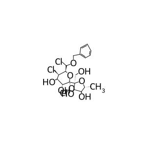 C[C@H]1O[C@](CO)([C@]2(OCl)O[C@H](C(Cl)OCc3ccccc3)[C@H](Cl)[C@H](O)[C@H]2O)[C@@H](O)[C@@H]1O